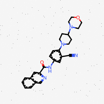 N#Cc1cc(NC(=O)c2cc3ccccc3cn2)ccc1N1CCC(N2CCOCC2)CC1